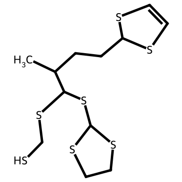 CC(CCC1SC=CS1)C(SCS)SC1SCCS1